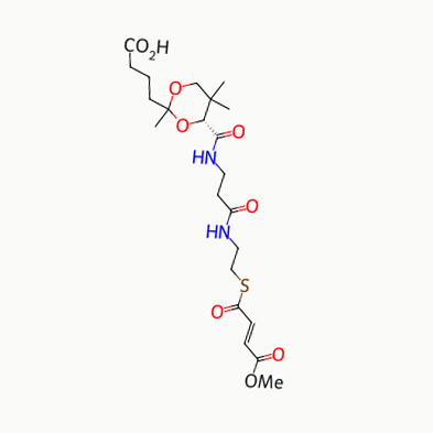 COC(=O)/C=C/C(=O)SCCNC(=O)CCNC(=O)[C@@H]1OC(C)(CCCC(=O)O)OCC1(C)C